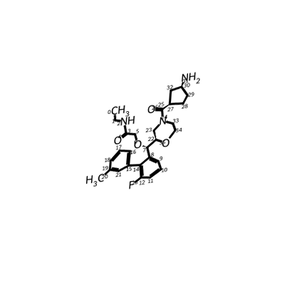 CCNC(=O)CO[C@@H](c1cccc(F)c1-c1cccc(C)c1)[C@H]1CN(C(=O)[C@@H]2CC[C@H](N)C2)CCO1